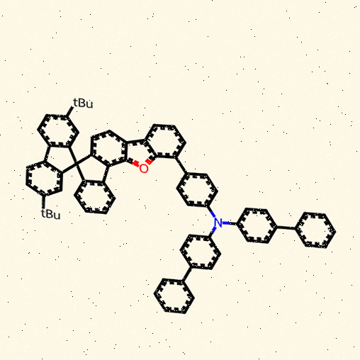 CC(C)(C)c1ccc2c(c1)C1(c3cc(C(C)(C)C)ccc3-2)c2ccccc2-c2c1ccc1c2oc2c(-c3ccc(N(c4ccc(-c5ccccc5)cc4)c4ccc(-c5ccccc5)cc4)cc3)cccc21